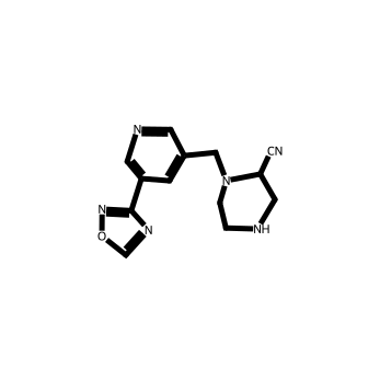 N#CC1CNCCN1Cc1cncc(-c2ncon2)c1